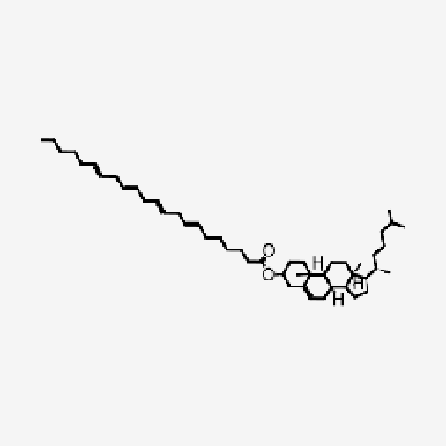 CCCCC/C=C/C/C=C/C/C=C/C/C=C/CCCCCC(=O)O[C@H]1CC[C@@]2(C)C(=CC[C@H]3[C@@H]4CC[C@H]([C@H](C)CCCC(C)C)[C@@]4(C)CC[C@@H]32)C1